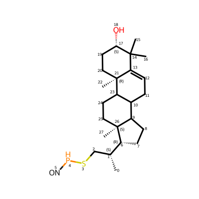 C[C@H](CSPN=O)[C@H]1CCC2C3CC=C4C(C)(C)[C@@H](O)CC[C@]4(C)C3CC[C@@]21C